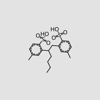 CCCCC(Cc1cc(C)ccc1S(=O)(=O)O)c1cc(C)ccc1S(=O)(=O)O